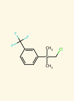 C[Si](C)(CCl)c1cccc(C(F)(F)F)c1